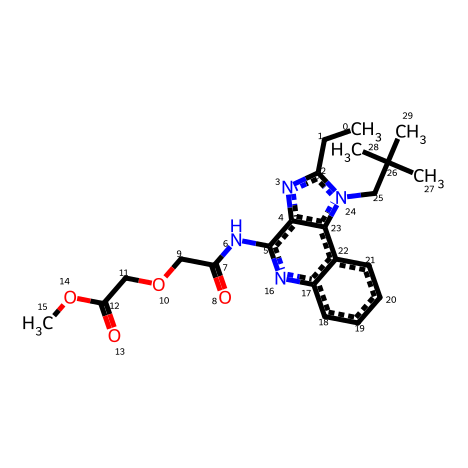 CCc1nc2c(NC(=O)COCC(=O)OC)nc3ccccc3c2n1CC(C)(C)C